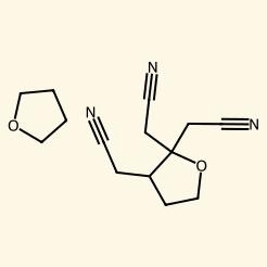 C1CCOC1.N#CCC1CCOC1(CC#N)CC#N